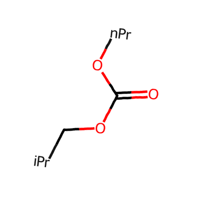 [CH2]C(C)COC(=O)OCCC